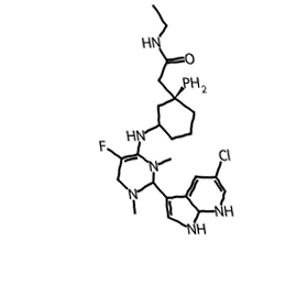 CCNC(=O)C[C@]1(P)CCCC(NC2=C(F)CN(C)C(C3=CNC4NC=C(Cl)C=C34)N2C)C1